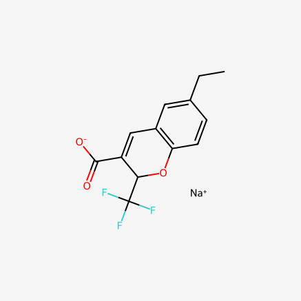 CCc1ccc2c(c1)C=C(C(=O)[O-])C(C(F)(F)F)O2.[Na+]